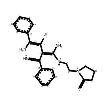 N=C(C(=C(/N)NCCN1CCCC1=O)/C(Cl)=C(\N)c1ccccc1)c1ccccc1